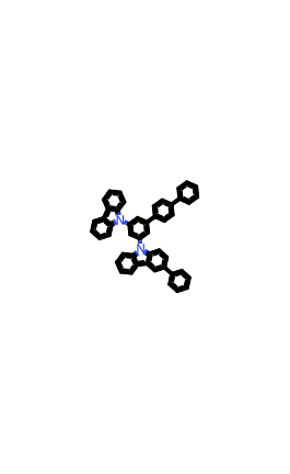 c1ccc(-c2ccc(-c3cc(-n4c5ccccc5c5ccccc54)cc(-n4c5ccccc5c5cc(-c6ccccc6)ccc54)c3)cc2)cc1